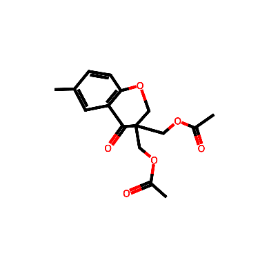 CC(=O)OCC1(COC(C)=O)COc2ccc(C)cc2C1=O